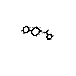 O=C(N/N=C1\C=C/C=C\C(C2CCCCCC2)=C/C=C\1)c1ccccc1